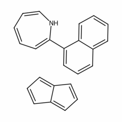 C1=CC2=CC=CC2=C1.C1=CC=C(c2cccc3ccccc23)NC=C1